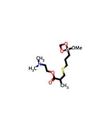 CO[Si]1(CCCSCC(C)C(=O)OCCN(C)C)OCO1